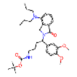 CCCN(CCC)c1cccc2c1CN([C@H](CCCNC(=O)OC(C)(C)C)c1ccc(OC)c(OC)c1)C2=O